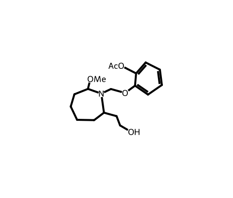 COC1CCCCC(CCO)N1COc1ccccc1OC(C)=O